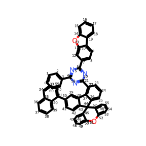 c1ccc(-c2nc(-c3ccc4c(c3)oc3ccccc34)nc(-c3cccc4c3-c3cc(-c5cccc6ccccc56)ccc3C43c4ccccc4Oc4ccccc43)n2)cc1